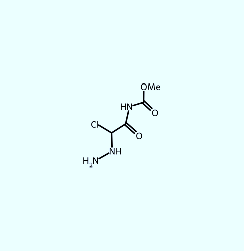 COC(=O)NC(=O)C(Cl)NN